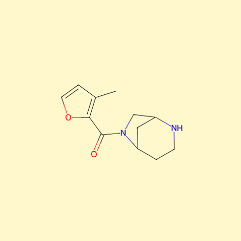 Cc1ccoc1C(=O)N1CC2CC1CCN2